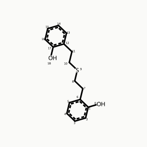 Oc1ccccc1CCSCCc1ccccc1O